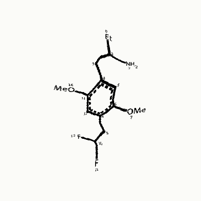 CCC(N)Cc1cc(OC)c(CC(F)F)cc1OC